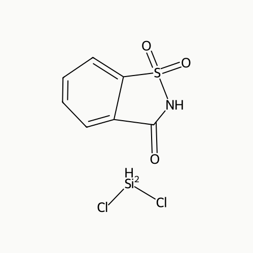 Cl[SiH2]Cl.O=C1NS(=O)(=O)c2ccccc21